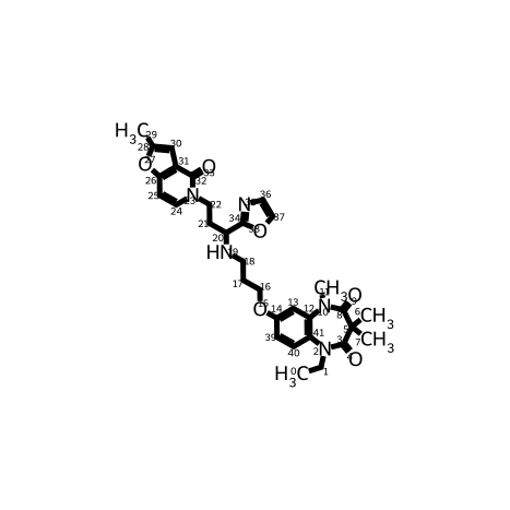 CCN1C(=O)C(C)(C)C(=O)N(C)c2cc(OCCCNC(CCn3ccc4oc(C)cc4c3=O)c3ncco3)ccc21